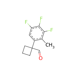 Cc1c(C2(C=O)CCC2)cc(F)c(F)c1F